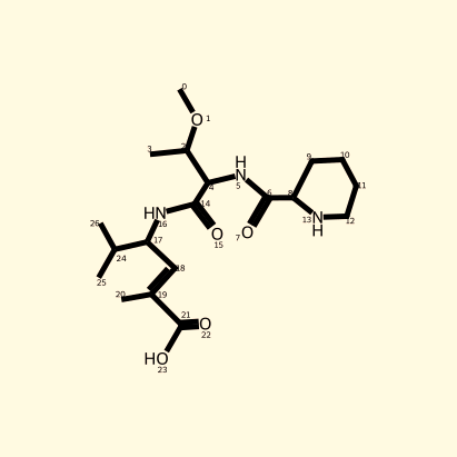 COC(C)C(NC(=O)C1CCCCN1)C(=O)NC(/C=C(\C)C(=O)O)C(C)C